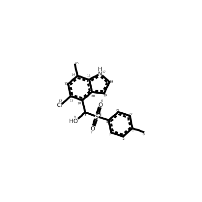 Cc1ccc(S(=O)(=O)C(O)c2c(Cl)cc(C)c3[nH]ccc23)cc1